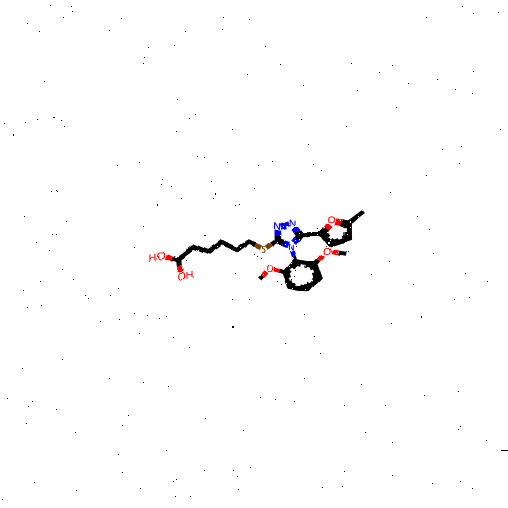 COc1cccc(OC)c1-n1c(SCCCCCC(O)O)nnc1-c1ccc(C)o1